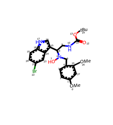 COc1ccc(CN(O)C(CNC(=O)OC(C)(C)C)c2c[nH]c3ccc(Br)cc23)c(OC)c1